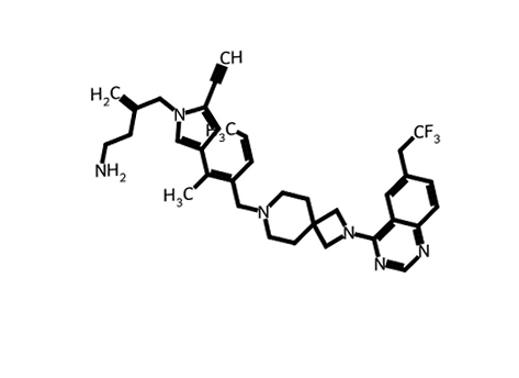 C#Cc1cc(/C(C)=C(\C=C/C)CN2CCC3(CC2)CN(c2ncnc4ccc(CC(F)(F)F)cc24)C3)cn1CC(=C)CCN